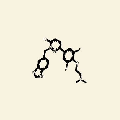 CN(C)CCOc1c(F)cc(-c2ccc(=O)n(Cc3ccc4[nH]cnc4c3)n2)cc1F